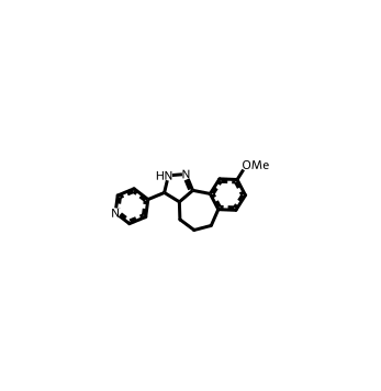 COc1ccc2c(c1)C1=NNC(c3ccncc3)C1CCC2